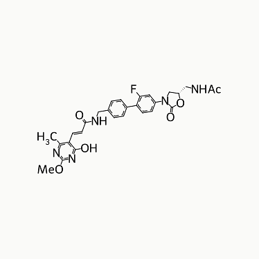 COc1nc(C)c(/C=C/C(=O)NCc2ccc(-c3ccc(N4C[C@H](CNC(C)=O)OC4=O)cc3F)cc2)c(O)n1